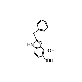 CC(C)(C)c1ccc2[nH]c(Cc3ccccc3)nc2c1O